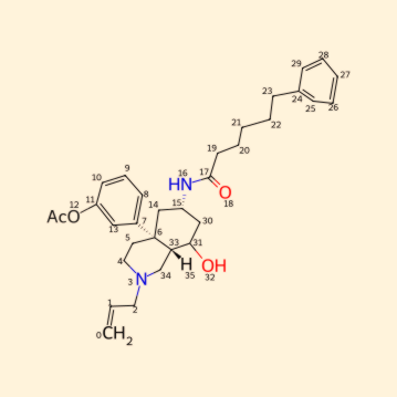 C=CCN1CC[C@@]2(c3cccc(OC(C)=O)c3)C[C@H](NC(=O)CCCCCc3ccccc3)CC(O)[C@@H]2C1